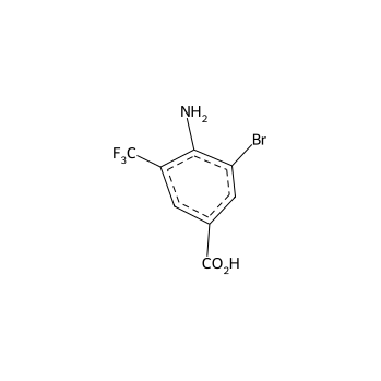 Nc1c(Br)cc(C(=O)O)cc1C(F)(F)F